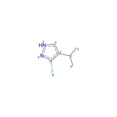 CC(C)c1c[nH]nc1F